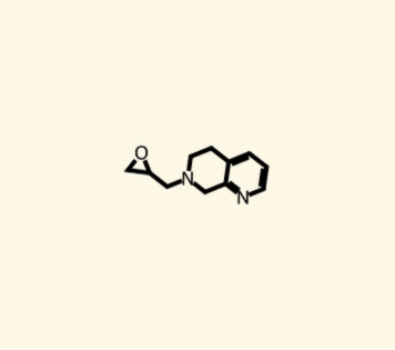 c1cnc2c(c1)CCN(CC1CO1)C2